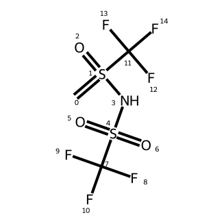 C=S(=O)(NS(=O)(=O)C(F)(F)F)C(F)(F)F